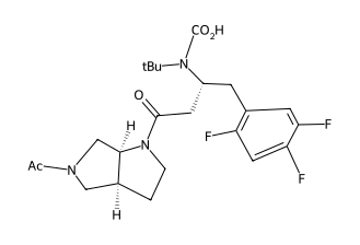 CC(=O)N1C[C@@H]2CCN(C(=O)C[C@@H](Cc3cc(F)c(F)cc3F)N(C(=O)O)C(C)(C)C)[C@@H]2C1